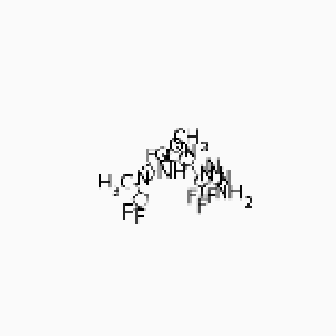 COc1ncc(-c2cc(C(F)(F)F)c3c(N)ncnn23)cc1C(=O)N[C@@H]1CN(C(C)C2CCC(F)(F)C2)C[C@@H]1F